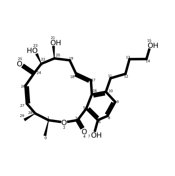 C[C@@H]1OC(=O)c2c(O)ccc(CCCCO)c2/C=C/C[C@H](O)[C@H](O)C(=O)/C=C\[C@@H]1C